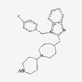 Fc1ccc(Cn2c(CC3CCN(C4CCNCC4)CC3)nc3ccccc32)cc1